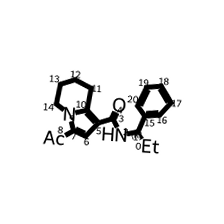 CC[C@@H](NC(=O)c1cc(C(C)=O)n2c1CCCC2)c1ccccc1